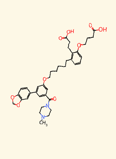 CN1CCN(C(=O)c2cc(OCCCCCCc3cccc(OCCCC(=O)O)c3CCC(=O)O)cc(-c3ccc4c(c3)OCO4)c2)CC1